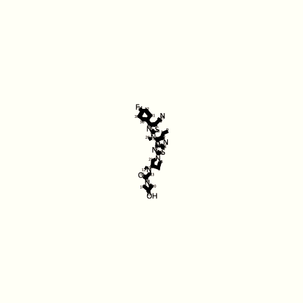 CCc1nc2sc(N3CCC(N(C)CC(=O)N4CC(O)C4)C3)nn2c1N(C)c1nc(-c2ccc(F)cc2)c(C#N)s1